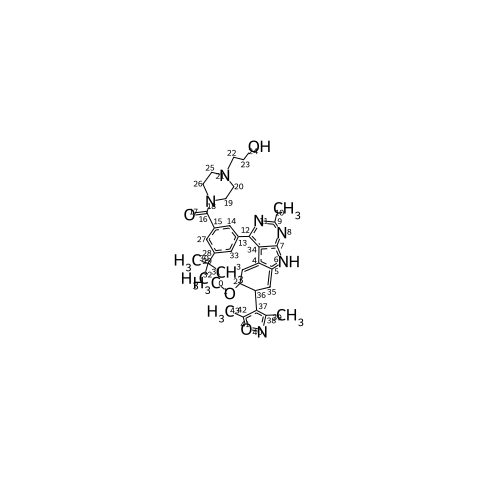 COC1C=c2c([nH]c3nc(C)nc(-c4cc(C(=O)N5CCN(CCO)CC5)cc(C(C)(C)C)c4)c23)=CC1c1c(C)noc1C